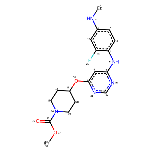 CCNc1ccc(Nc2cc(OC3CCN(C(=O)OC(C)C)CC3)ncn2)c(F)c1